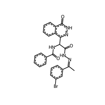 CC(=NNC(=O)C(NC(=O)c1ccccc1)c1n[nH]c(=O)c2ccccc12)c1cccc(Br)c1